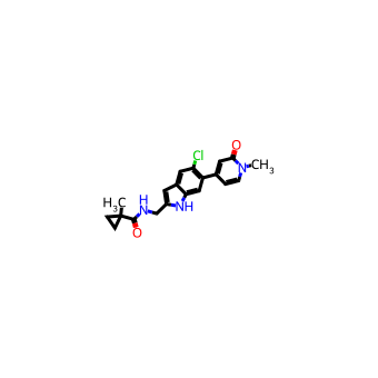 Cn1ccc(-c2cc3[nH]c(CNC(=O)C4(C)CC4)cc3cc2Cl)cc1=O